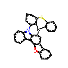 c1ccc2c(c1)Sc1cccc3c1B2c1cc2c4ccccc4oc2c2c4ccccc4n-3c12